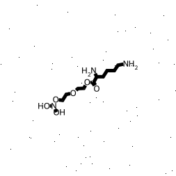 NCCCCC(N)C(=O)OCCOCCON(O)O